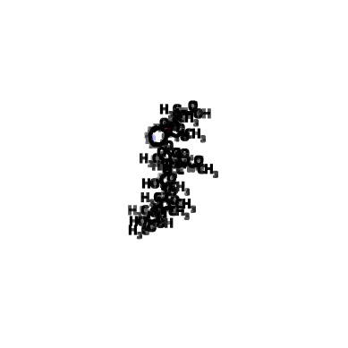 COC(=O)CC1=C2/C(=C/CSSC(C)(C)CCC(=O)O)[C@](O)(C#C/C=C\C#C[C@@H]2OC2OC(C)C(NOC3CC(O)C(SC(=O)c4c(C)c(I)c(OC5OC(C)C(O)C(OC)C5O)c(C)c4OC)C(C)O3)C(O)C2OC2CC(C)C(CC(C)=O)CO2)CC1=O